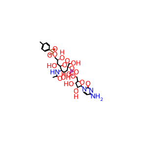 CC(=O)N[C@H]1C([C@H](O)[C@H](O)COS(=O)(=O)c2ccc(C)cc2)O[C@](OP(=O)(O)OCC2OC(n3ccc(N)nc3=O)[C@H](O)[C@@H]2O)(C(=O)O)C[C@H]1O